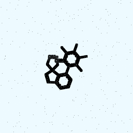 COCC1(COC)C=Cc2cccc(-c3c(C)c(C)c(C)c(C)c3C)c21